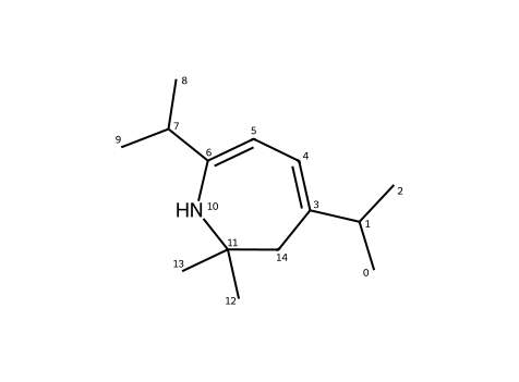 CC(C)C1=CC=C(C(C)C)NC(C)(C)C1